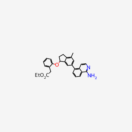 CCOC(=O)Cc1ccccc1OC1CCc2c(C)cc(-c3cccc4c(N)nccc34)cc21